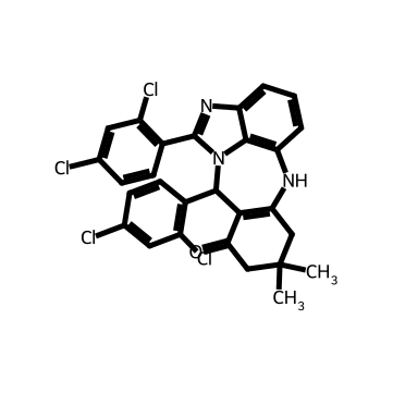 CC1(C)CC(=O)C2=C(C1)Nc1cccc3nc(-c4ccc(Cl)cc4Cl)n(c13)C2c1ccc(Cl)cc1Cl